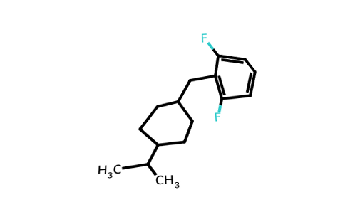 CC(C)C1CCC(Cc2c(F)cccc2F)CC1